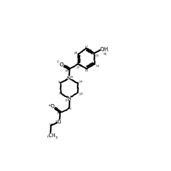 CCOC(=O)CN1CCN(C(=O)c2ccc(O)cc2)CC1